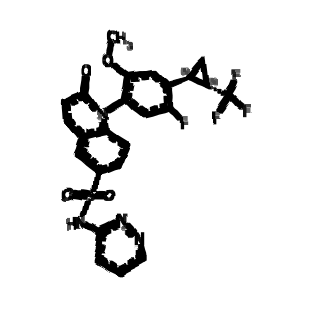 COc1cc([C@H]2C[C@@H]2C(F)(F)F)c(F)cc1-n1c(=O)ccc2cc(S(=O)(=O)Nc3cccnn3)ccc21